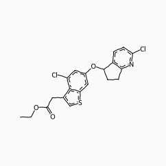 CCOC(=O)Cc1csc2cc(OC3CCc4nc(Cl)ccc43)cc(Cl)c12